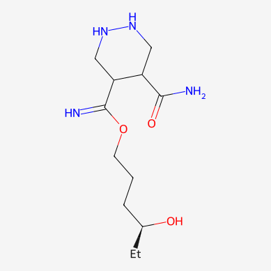 CC[C@H](O)CCCOC(=N)C1CNNCC1C(N)=O